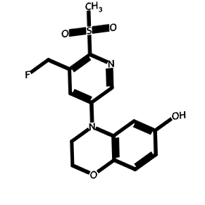 CS(=O)(=O)c1ncc(N2CCOc3ccc(O)cc32)cc1CF